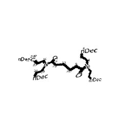 CCCCCCCCCCCCN(CCCCCCCCCCCC)C(=O)CCCCC(=O)N(CCCCCCCCCCCC)CCCCCCCCCCCC